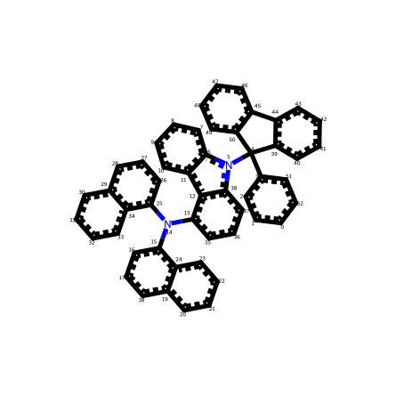 c1ccc(C2(n3c4ccccc4c4c(N(c5cccc6ccccc56)c5cccc6ccccc56)cccc43)c3ccccc3-c3ccccc32)cc1